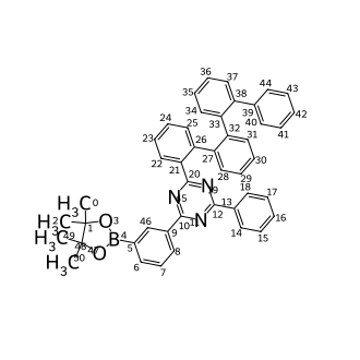 CC1(C)OB(c2cccc(-c3nc(-c4ccccc4)nc(-c4ccccc4-c4ccccc4-c4ccccc4-c4ccccc4)n3)c2)OC1(C)C